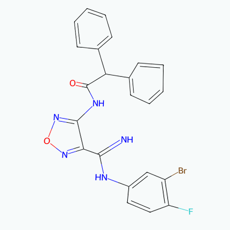 N=C(Nc1ccc(F)c(Br)c1)c1nonc1NC(=O)C(c1ccccc1)c1ccccc1